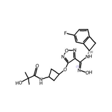 CC(C)(O)C(=O)NC1CC(Oc2nonc2/C(=N/O)N[C@H]2Cc3ccc(F)cc32)C1